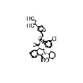 O=C(NOCc1cc(C(O)CO)cs1)[C@@H]1c2ccccc2C(=O)N([C@H]2CCCC[C@@H]2O)[C@H]1c1ccc(Cl)cc1